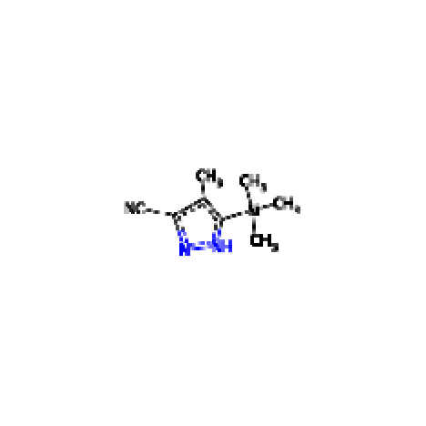 Cc1c(C#N)n[nH]c1[Si](C)(C)C